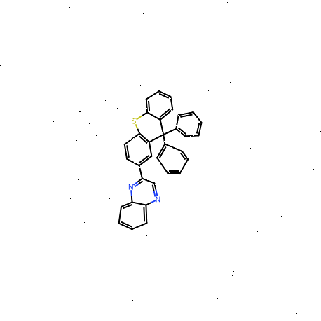 c1ccc(C2(c3ccccc3)c3ccccc3Sc3ccc(-c4cnc5ccccc5n4)cc32)cc1